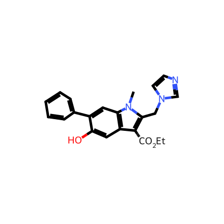 CCOC(=O)c1c(Cn2ccnc2)n(C)c2cc(-c3ccccc3)c(O)cc12